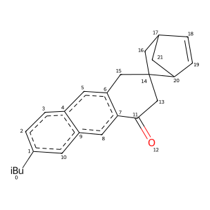 CCC(C)c1ccc2cc3c(cc2c1)C(=O)CC1(C3)CC2C=CC1C2